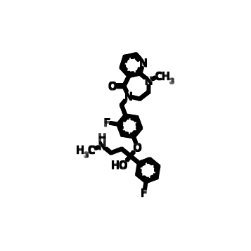 CNCCC(O)(Oc1ccc(CN2CCN(C)c3ncccc3C2=O)c(F)c1)c1cccc(F)c1